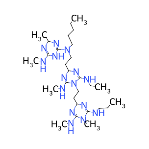 CCCCCN(CCC1N=C(NC)N(CCC2N=C(NC)N(C)C(NCCC)=N2)C(NCC)=N1)C1=NC(C)N=C(NC)N1